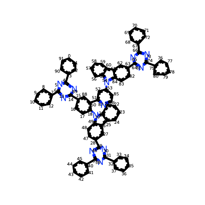 c1ccc(-c2nc(-c3ccccc3)nc(-c3ccc(-n4c5ccccc5c5cc(-c6nc(-c7ccccc7)nc(-c7ccccc7)n6)ccc54)c(-c4cc(-n5c6ccccc6c6cc(-c7nc(-c8ccccc8)nc(-c8ccccc8)n7)ccc65)ccn4)c3)n2)cc1